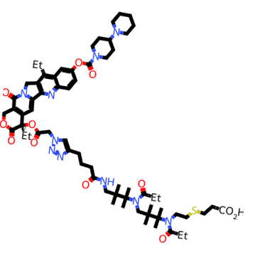 CCC(=O)N(CC(C)(C)C(C)(C)N(CCSCCC(=O)O)C(=O)CC)C(C)(C)C(C)(C)CNC(=O)CCCc1cn(CC(=O)O[C@]2(CC)C(=O)OCc3c2cc2n(c3=O)Cc3c-2nc2ccc(OC(=O)N4CCC(N5CCCCC5)CC4)cc2c3CC)nn1